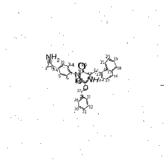 N[C@@H]1C[C@H]1c1ccc(NC(=O)C(Cc2cccc3ccccc23)NC(=O)OCc2ccccc2)cc1